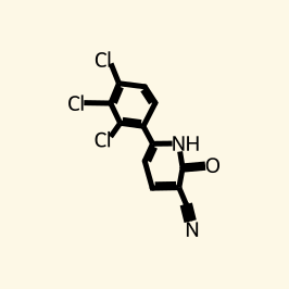 N#Cc1ccc(-c2ccc(Cl)c(Cl)c2Cl)[nH]c1=O